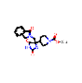 CC(C)(C)OC(=O)N1CCC(C2(CN3Cc4ccccc4C3=O)NC(=O)NC2=O)CC1